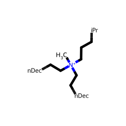 CCCCCCCCCCCC[N+](C)(CCCCCCCCCCCC)CCCC(C)C